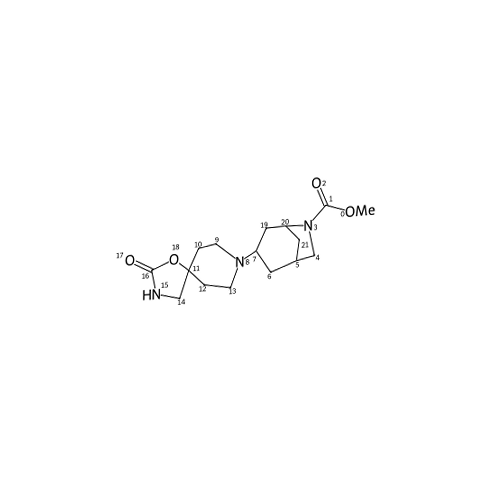 COC(=O)N1CC2CC(N3CCC4(CC3)CNC(=O)O4)CC1C2